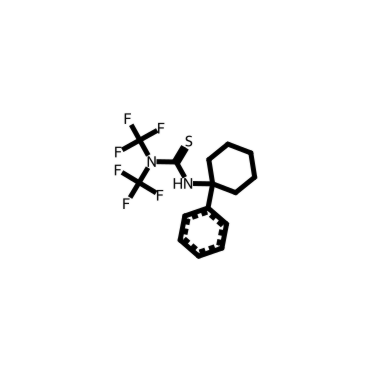 FC(F)(F)N(C(=S)NC1(c2ccccc2)CCCCC1)C(F)(F)F